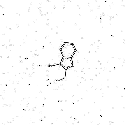 CC(C)Oc1nc2ccccc2n1C(C)C